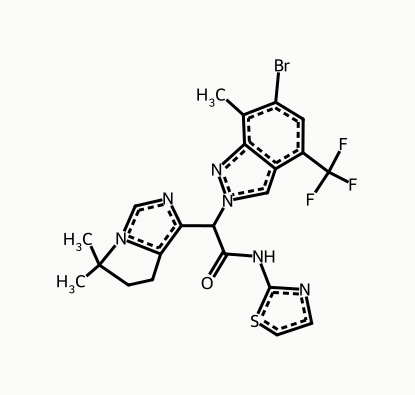 Cc1c(Br)cc(C(F)(F)F)c2cn(C(C(=O)Nc3nccs3)c3ncn4c3CCC4(C)C)nc12